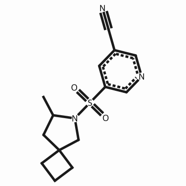 CC1CC2(CCC2)CN1S(=O)(=O)c1cncc(C#N)c1